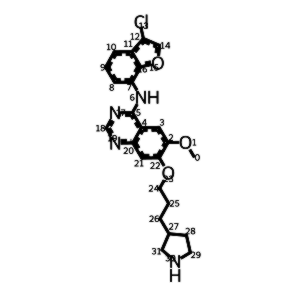 COc1cc2c(Nc3cccc4c(Cl)coc34)ncnc2cc1OCCCC1CCNC1